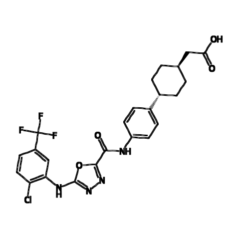 O=C(O)C[C@H]1CC[C@H](c2ccc(NC(=O)c3nnc(Nc4cc(C(F)(F)F)ccc4Cl)o3)cc2)CC1